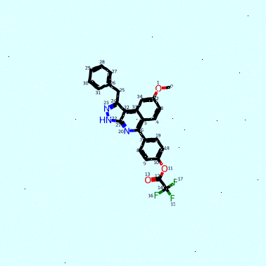 COc1ccc2c(-c3ccc(OC(=O)C(F)(F)F)cc3)nc3[nH]nc(Cc4ccccc4)c3c2c1